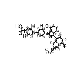 Cc1cccc2c(-c3c(F)cc(F)c4nn(C)cc34)nn(-c3ccc(N4C[C@@H]5C[C@H]4CN5C(=O)O)nc3)c12